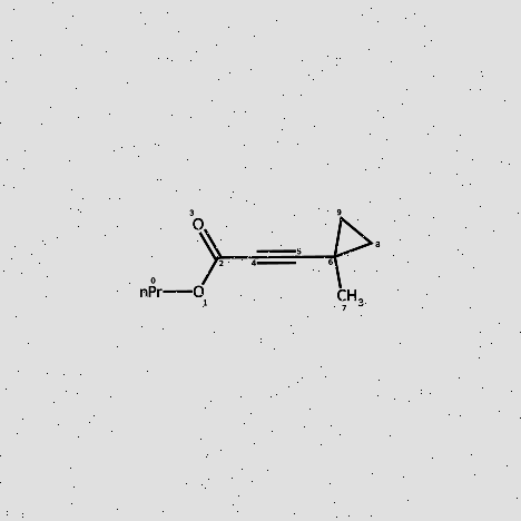 CCCOC(=O)C#CC1(C)CC1